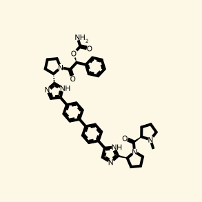 CN1CCC[C@@H]1C(=O)N1CCC[C@H]1c1ncc(-c2ccc(-c3ccc(-c4cnc([C@@H]5CCCN5C(=O)[C@H](OC(N)=O)c5ccccc5)[nH]4)cc3)cc2)[nH]1